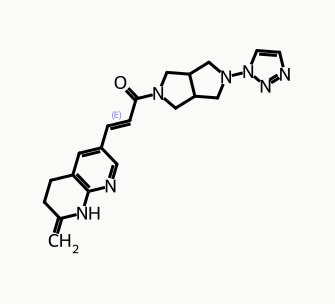 C=C1CCc2cc(/C=C/C(=O)N3CC4CN(n5ccnn5)CC4C3)cnc2N1